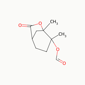 CC1(OC=O)CCC2CC1(C)OC2=O